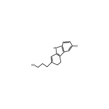 OCCCC1=Cc2[nH]c3ccc(Cl)cc3c2CC1